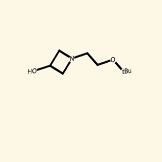 CC(C)(C)OCCN1CC(O)C1